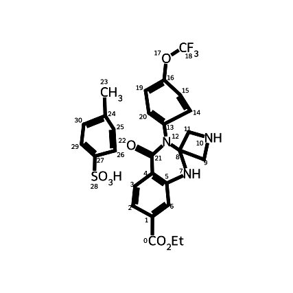 CCOC(=O)c1ccc2c(c1)NC1(CNC1)N(c1ccc(OC(F)(F)F)cc1)C2=O.Cc1ccc(S(=O)(=O)O)cc1